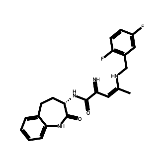 C/C(=C/C(=N)C(=O)N[C@H]1CCc2ccccc2NC1=O)NCc1cc(F)ccc1F